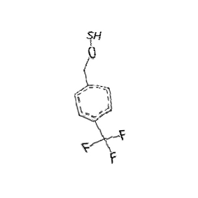 FC(F)(F)c1ccc(COS)cc1